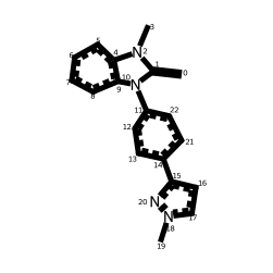 C=C1N(C)c2ccccc2N1c1ccc(-c2ccn(C)n2)cc1